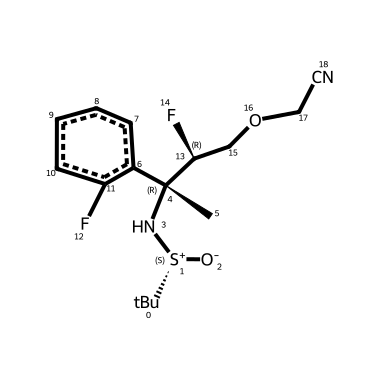 CC(C)(C)[S@@+]([O-])N[C@](C)(c1ccccc1F)[C@@H](F)COCC#N